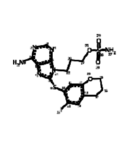 Nc1ncnc2c1nc(Sc1cc3c(cc1I)CCCO3)n2CCCOS(N)(=O)=O